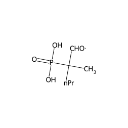 CCCC(C)([C]=O)P(=O)(O)O